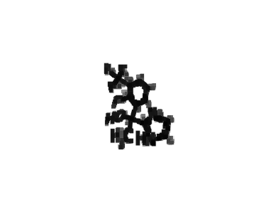 CC(O)(c1ncc[nH]1)c1cccc(C(F)(F)F)c1F